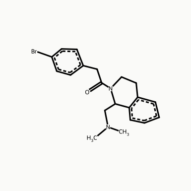 CN(C)CC1c2ccccc2CCN1C(=O)Cc1ccc(Br)cc1